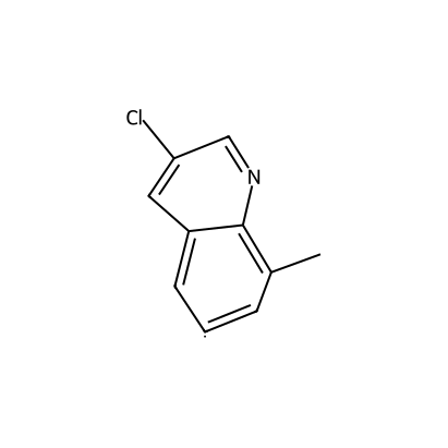 Cc1c[c]cc2cc(Cl)cnc12